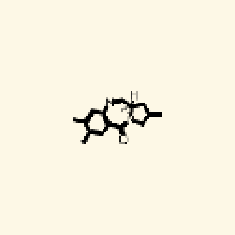 C=C1C[C@H]2C=Nc3cc(C)c(C)cc3C(=O)N2C1